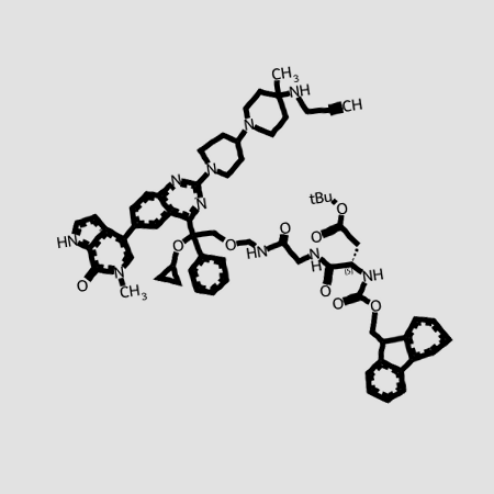 C#CCNC1(C)CCN(C2CCN(c3nc(C(COCNC(=O)CNC(=O)[C@H](CC(=O)OC(C)(C)C)NC(=O)OCC4c5ccccc5-c5ccccc54)(OC4CC4)c4ccccc4)c4cc(-c5cn(C)c(=O)c6[nH]ccc56)ccc4n3)CC2)CC1